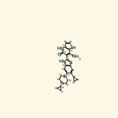 Nc1c(-c2nc3cc(C4CC4)c(N4CCN(C5CC5)CC4)cc3[nH]2)c(=O)[nH]c2cc[se]c12